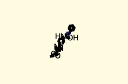 CCOC(=O)c1cnc(N2CCC(NC(/C=C/c3ccccc3)CO)CC2)nc1